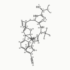 CC(C)[C@H](O)C(=O)NC1Cc2ccc3c(c2)C2(c4ccccc4NC2O3)c2oc(nc2-c2nc(C#N)co2)C(C(C)(C)C)NC1=O